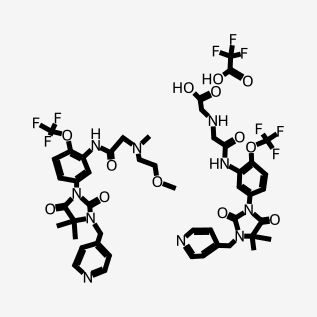 CC1(C)C(=O)N(c2ccc(OC(F)(F)F)c(NC(=O)CNCC(=O)O)c2)C(=O)N1Cc1ccncc1.COCCN(C)CC(=O)Nc1cc(N2C(=O)N(Cc3ccncc3)C(C)(C)C2=O)ccc1OC(F)(F)F.O=C(O)C(F)(F)F